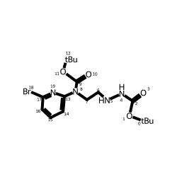 CC(C)(C)OC(=O)NNCCN(C(=O)OC(C)(C)C)c1cccc(Br)n1